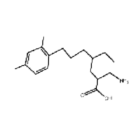 CCC(CCCc1ccc(C)cc1C)CC(CN)C(=O)O